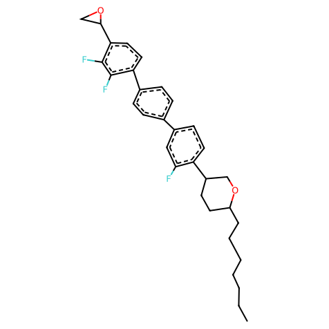 CCCCCCCC1CCC(c2ccc(-c3ccc(-c4ccc(C5CO5)c(F)c4F)cc3)cc2F)CO1